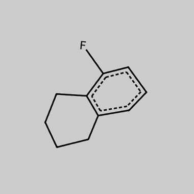 Fc1cccc2c1CCCC2